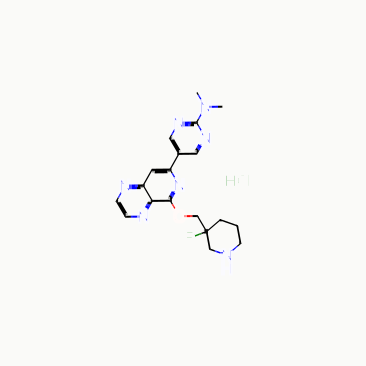 CN(C)c1ncc(-c2cc3nccnc3c(OCC3(F)CCCNC3)n2)cn1.Cl